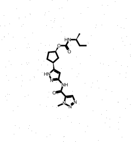 CC[C@H](C)NC(=O)O[C@@H]1CC[C@H](c2cc(NC(=O)c3cnnn3C)n[nH]2)C1